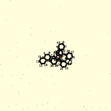 c1ccc(-c2nc(-c3ccc4ccccc4c3)nc(-c3cccc4oc5cccc(-c6cccc7c6oc6ccccc67)c5c34)n2)cc1